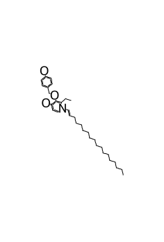 CCCCCCCCCCCCCCCCC=Cn1ccc(=O)c(OCc2ccc(OC)cc2)c1CC